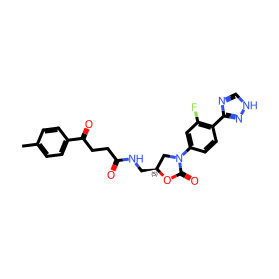 Cc1ccc(C(=O)CCC(=O)NC[C@H]2CN(c3ccc(-c4nc[nH]n4)c(F)c3)C(=O)O2)cc1